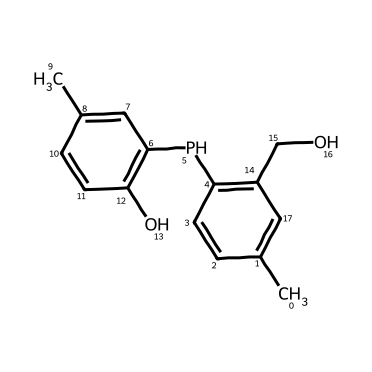 Cc1ccc(Pc2cc(C)ccc2O)c(CO)c1